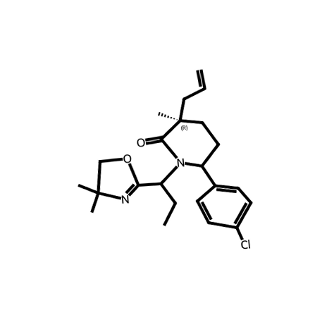 C=CC[C@@]1(C)CCC(c2ccc(Cl)cc2)N(C(CC)C2=NC(C)(C)CO2)C1=O